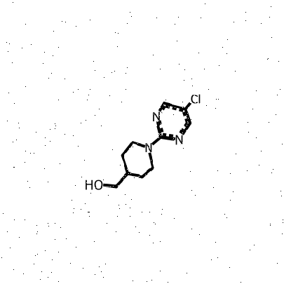 OCC1CCN(c2ncc(Cl)cn2)CC1